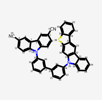 N#Cc1ccc2c(c1)c1cc(C#N)ccc1n2-c1cccc(-c2cccc(-n3c4ccccc4c4cc5c(cc43)sc3ccccc35)c2)c1